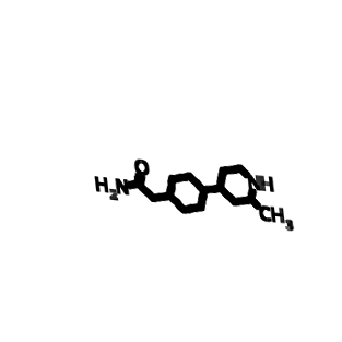 CC1CC(C2CCC(CC(N)=O)CC2)CCN1